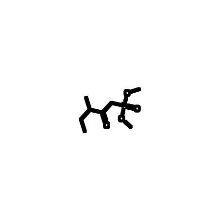 CCC(C)C(=O)CP(=O)(OC)OC